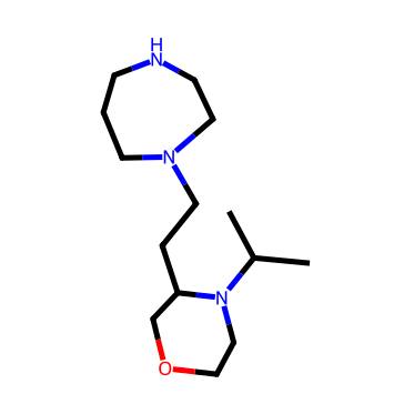 CC(C)N1CCOCC1CCN1CCCNCC1